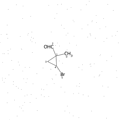 CC1(C=O)CC1Br